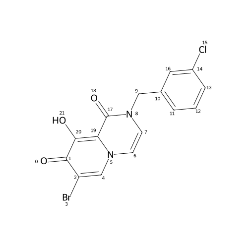 O=c1c(Br)cn2ccn(Cc3cccc(Cl)c3)c(=O)c2c1O